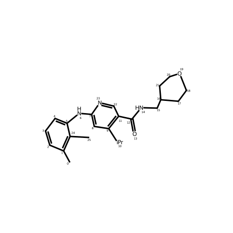 Cc1cccc(Nc2cc(C(C)C)c(C(=O)NCC3CCOCC3)cn2)c1C